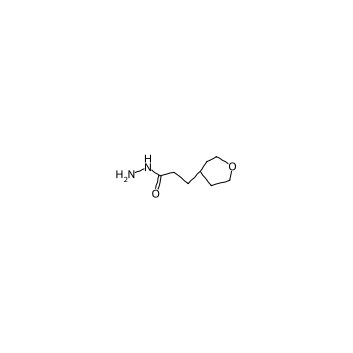 NNC(=O)CCC1CCOCC1